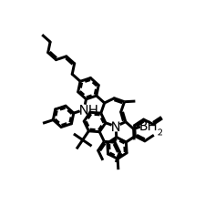 BC(C)/C1=C\C(C)=C/C(c2ccc(C/C=C\C=C/CC)cc2Nc2ccc(C)cc2)c2ccc(C(C)(C)C)c(C(/C=C\C)=C/C)c2N1c1ccc(C)cc1C(/C=C\C=C)=C/C